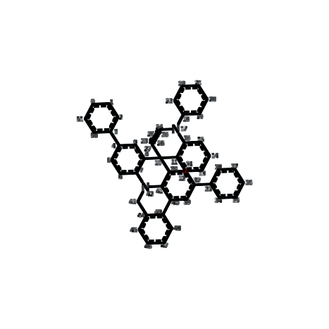 c1ccc(-c2ccc3c(c2)C2(c4ccccc4N(c4ccccc4)c4ccccc42)c2cc(-c4ccccc4)cc4c2N3Cc2ccccc2-4)cc1